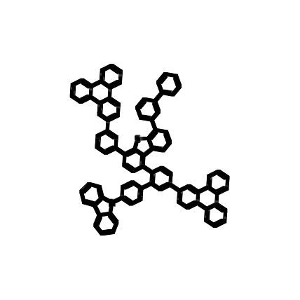 c1ccc(-c2cccc(-c3cccc4c3sc3c(-c5cccc(-c6ccc7c8ccccc8c8ccccc8c7c6)c5)ccc(-c5ccc(-c6ccc7c8ccccc8c8ccccc8c7c6)cc5-c5ccc(-n6c7ccccc7c7ccccc76)cc5)c34)c2)cc1